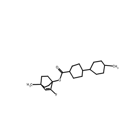 CC1CCC(C2CCC(C(=O)OC34CCC(C)(C=C3F)CC4)CC2)CC1